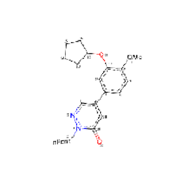 CCCCCn1ncc(-c2ccc(OC)c(OC3CCCC3)c2)cc1=O